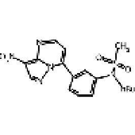 CCCCN(c1cccc(-c2ccnc3c([N+](=O)[O-])cnn23)c1)S(C)(=O)=O